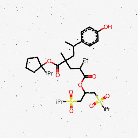 CCC(CC(C)(CC(C)c1ccc(O)cc1)C(=O)OC1(C(C)C)CCCC1)C(=O)OC(CS(=O)(=O)C(C)C)CS(=O)(=O)C(C)C